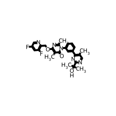 Cc1cnc(C(C)(C)O)nc1-c1cccc(-n2c(C)nc(OCc3ncc(F)cc3F)c(C)c2=O)c1